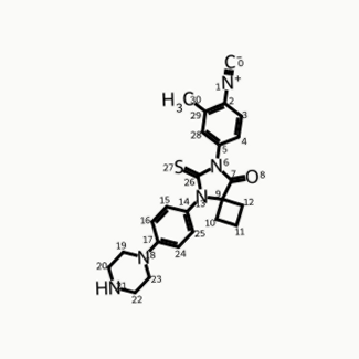 [C-]#[N+]c1ccc(N2C(=O)C3(CCC3)N(c3ccc(N4CCNCC4)cc3)C2=S)cc1C